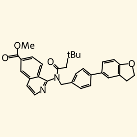 COC(=O)c1ccc2c(N(Cc3ccc(-c4ccc5c(c4)CCO5)cc3)C(=O)CC(C)(C)C)nccc2c1